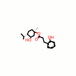 CC(C)[C@@H]1CC[C@@](C)(OC(=O)CCc2ccccc2O)C[C@H]1O